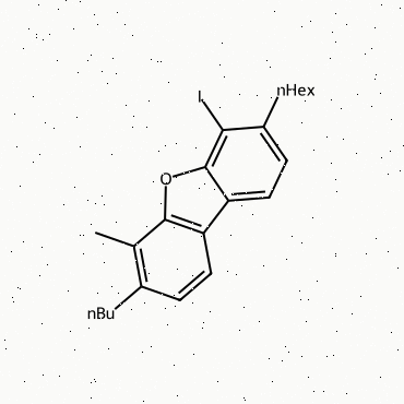 CCCCCCc1ccc2c(oc3c(C)c(CCCC)ccc32)c1I